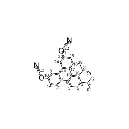 CC(C)c1ccc(-c2ccc(OC#N)cc2)c(-c2ccc(OC#N)cc2)c1C(C)C